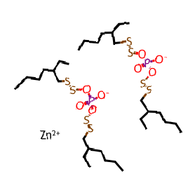 CCCCC(CC)CSSOP(=O)([O-])OSSCC(CC)CCCC.CCCCC(CC)CSSOP(=O)([O-])OSSCC(CC)CCCC.[Zn+2]